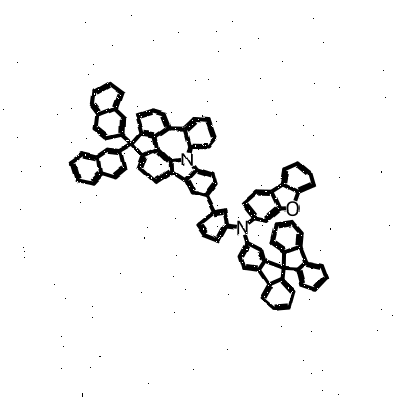 c1cc(-c2ccc3c(c2)c2ccc4c5c2n3-c2ccccc2-c2cccc(c2-5)C4(c2ccc3ccccc3c2)c2ccc3ccccc3c2)cc(N(c2ccc3c(c2)C2(c4ccccc4-c4ccccc42)c2ccccc2-3)c2ccc3c(c2)oc2ccccc23)c1